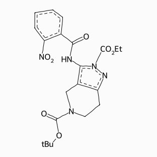 CCOC(=O)n1nc2c(c1NC(=O)c1ccccc1[N+](=O)[O-])CN(C(=O)OC(C)(C)C)CC2